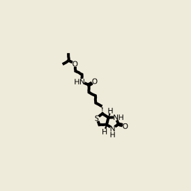 CC(C)OCCNC(=O)CCCC[C@H]1SC[C@H]2NC(=O)N[C@H]21